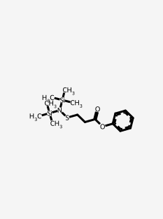 C[Si](C)(C)N(SCCC(=O)Oc1ccccc1)[Si](C)(C)C